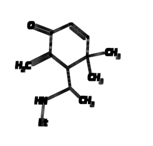 C=C1C(=O)C=CC(C)(C)C1C(C)NCC